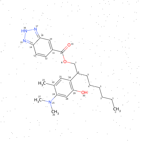 CCCCCCC(COC(=O)c1ccc2n[nH]nc2c1)c1cc(C)c(N(C)C)cc1O